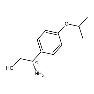 CC(C)Oc1ccc([C@H](N)CO)cc1